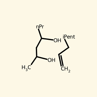 C=CCC(C)CCC.CCCC(O)CC(C)O